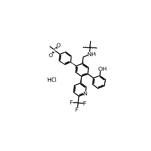 CC(C)(C)NCc1cc(-c2ccccc2O)c(-c2ccc(C(F)(F)F)nc2)cc1-c1ccc(S(C)(=O)=O)cc1.Cl